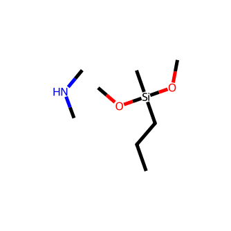 CCC[Si](C)(OC)OC.CNC